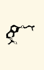 CC(=O)N1CCc2ccc(OCCC(C)C)cc2C1